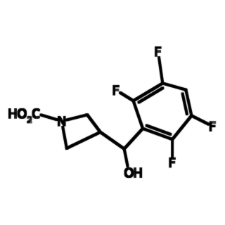 O=C(O)N1CC(C(O)c2c(F)c(F)cc(F)c2F)C1